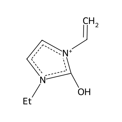 C=C[n+]1ccn(CC)c1O